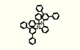 c1ccc(-c2cc(-c3ccccc3)cc(N3c4ccccc4N(c4cc(-c5ccccc5)cc(-c5ccccc5)c4)C3(c3ccccc3)c3ccccc3)c2)cc1